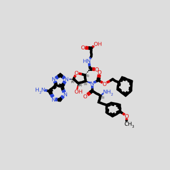 COc1ccc(C[C@H](N)C(=O)N(C(=O)OCc2ccccc2)[C@H]2[C@@H](O)[C@H](n3cnc4c(N)ncnc43)O[C@@H]2C(=O)NCC(=O)O)cc1